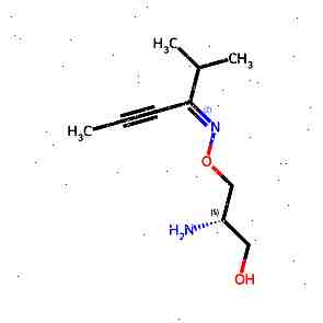 CC#C/C(=N\OC[C@@H](N)CO)C(C)C